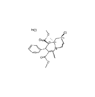 COC(=O)C1=C(C)N2CC[C@H](Cl)C[C@]2(C)[C@H](C(=O)OC)C1c1ccccc1.Cl